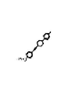 CCCOc1ccc(C#CC2CCC(c3ccc(C)cc3)CC2)cc1